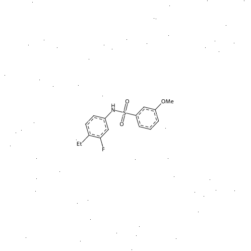 CCc1ccc(NS(=O)(=O)c2cccc(OC)c2)cc1F